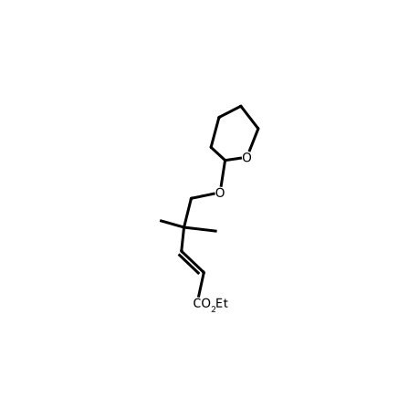 CCOC(=O)C=CC(C)(C)COC1CCCCO1